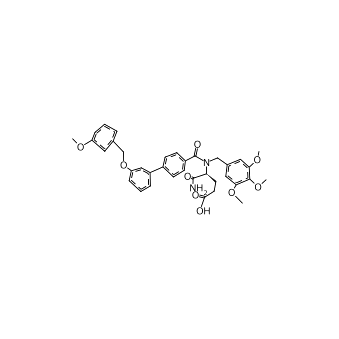 COc1cccc(COc2cccc(-c3ccc(C(=O)N(Cc4cc(OC)c(OC)c(OC)c4)[C@@H](CCC(=O)O)C(N)=O)cc3)c2)c1